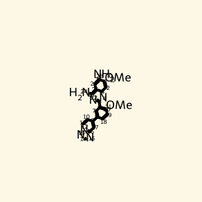 COc1cc2nc(-c3cc(-c4ccn5ncnc5c4)ccc3OC)nc(N)c2cc1N